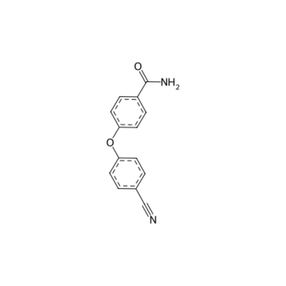 N#Cc1ccc(Oc2ccc(C(N)=O)cc2)cc1